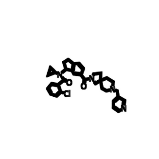 O=C(c1ccc2c(c1)C(N(C(=O)c1ccccc1Cl)C1CC1)CC2)N1CCC2(CCN(Cc3cccnc3)CC2)C1